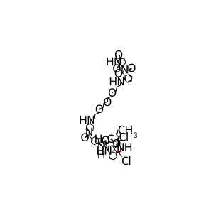 C=C(/C(F)=C(Cl)\C=C/C)[C@H]1[C@H](C(=O)Nc2ccc(C(=O)N3CCC(NCCCOCCOCCOCCCNc4cccc5c4C(=O)N(C4CCC(=O)NC4=O)C5=O)CC3)cc2)NC2(CCCCC2)[C@@]12C(=O)Nc1cc(Cl)ccc12